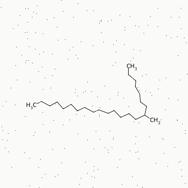 [CH2]C(CCCCCCC)CCCCCCCCCCCCCCC